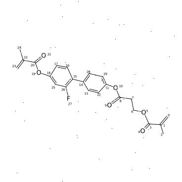 C=C(C)C(=O)OCCC(=O)Oc1ccc(-c2ccc(OC(=O)C(=C)C)cc2F)cc1